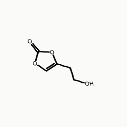 O=c1occ(CCO)o1